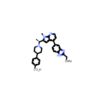 COCc1nc2cc(-c3ccnc4c3cc([C@H](C)N3CCC(c5ccc(C(=O)O)cc5)CC3)n4C)ccc2[nH]1